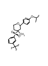 CC1(S(=O)(=O)c2cccc(C(F)(F)F)c2)CCOC(c2ccc(OC(F)F)nc2)C1